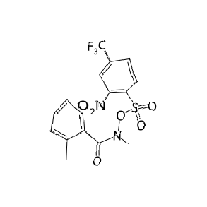 Cc1ccccc1C(=O)N(C)OS(=O)(=O)c1ccc(C(F)(F)F)cc1[N+](=O)[O-]